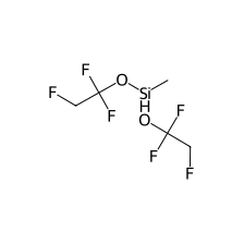 C[SiH](OC(F)(F)CF)OC(F)(F)CF